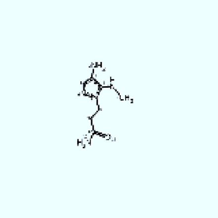 CNc1c(N)cnn1CCC(N)=O